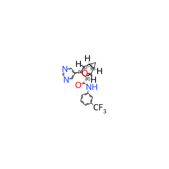 O=C(Nc1cccc(C(F)(F)F)c1)[C@H]1[C@@H]2O[C@@H]([C@H]3C[C@H]32)[C@@H]1c1cncnc1